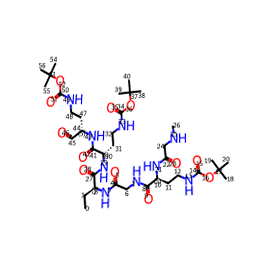 CC[C@H](NC(=O)CNC(=O)[C@H](CCNC(=O)OC(C)(C)C)NC(=O)CNC)C(=O)N[C@@H](CCNC(=O)OC(C)(C)C)C(=O)N[C@H](C=O)CCNC(=O)OC(C)(C)C